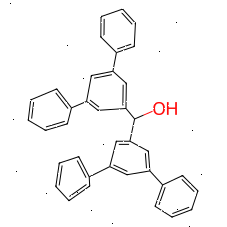 OC(c1cc(-c2ccccc2)cc(-c2ccccc2)c1)c1cc(-c2ccccc2)cc(-c2ccccc2)c1